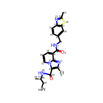 CCc1nc2c(C(=O)NCc3ccc4nc(C)sc4c3)cccn2c1C(=O)N[C@H](C)CC(C)C